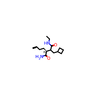 C=CCC[C@H](C(N)=O)C(CC1CCC1)C(=O)NCC